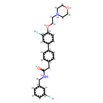 O=C(Cc1ccc(-c2ccc(OCCN3CCOCC3)c(F)c2)cc1)NCc1cccc(F)c1